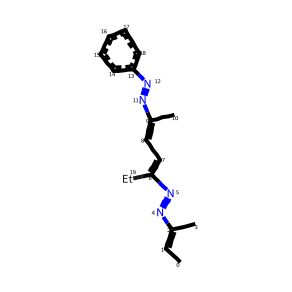 C/C=C(\C)N=N/C(=C/C=C(\C)N=Nc1ccccc1)CC